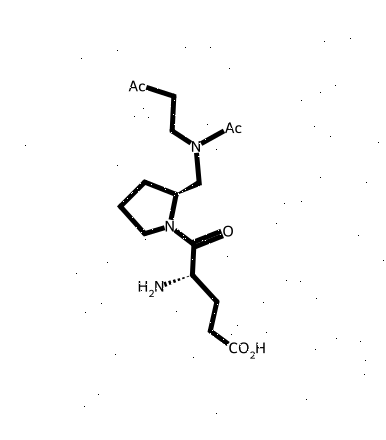 CC(=O)CCN(C[C@@H]1CCCN1C(=O)[C@@H](N)CCC(=O)O)C(C)=O